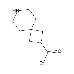 CCC(=O)N1CC2(CCNCC2)C1